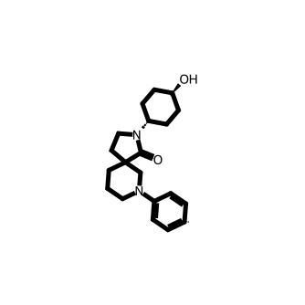 O=C1N([C@H]2CC[C@H](O)CC2)CCC12CCCN(c1cc[c]cc1)C2